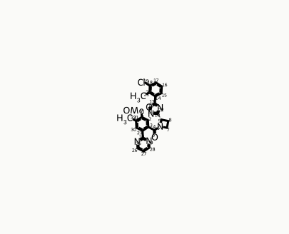 COc1cc(C(=O)N2CC[C@H]2c2noc(-c3cccc(Cl)c3C)n2)c(-c2ncccn2)cc1C